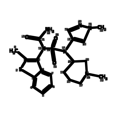 Cc1sc2ccccc2c1N(C(N)=O)S(=O)(=O)N(c1cnn(C)c1)C1CCCN(C)C1